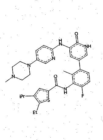 CCc1sc(C(=O)Nc2c(F)ccc(-c3c[nH]c(=O)c(Nc4ccc(N5CCN(C)CC5)cn4)c3)c2C)cc1C(C)C